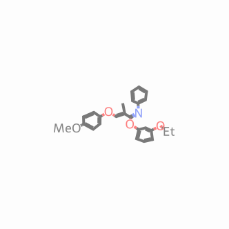 CCOc1cccc(OC(=Nc2ccccc2)C(C)=COc2ccc(OC)cc2)c1